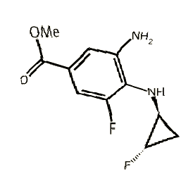 COC(=O)c1cc(N)c(N[C@H]2C[C@@H]2F)c(F)c1